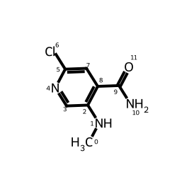 CNc1cnc(Cl)cc1C(N)=O